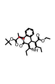 CCOC(=O)C1=C(CC)NC(CC)=C(C(=O)OCC)C1c1ccccc1C=CC(=O)OC(C)(C)C